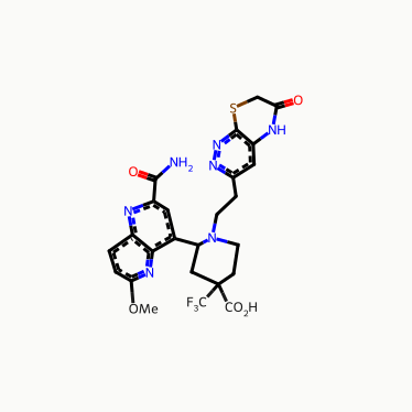 COc1ccc2nc(C(N)=O)cc(C3CC(C(=O)O)(C(F)(F)F)CCN3CCc3cc4c(nn3)SCC(=O)N4)c2n1